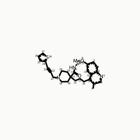 COc1ccc2ncc(C)c(CCCC3(C(=O)NO)CCN(CC#Cc4cccs4)CC3)c2c1